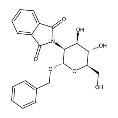 O=C1c2ccccc2C(=O)N1[C@@H]1[C@@H](OCc2ccccc2)O[C@H](CO)[C@@H](O)[C@@H]1O